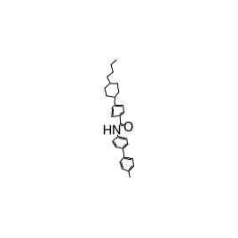 CCCCC1CCC(c2ccc(C(=O)Nc3ccc(-c4ccc(C)cc4)cc3)cc2)CC1